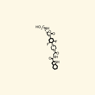 O=C(O)NC[C@H]1CN(c2cc(F)c(N3CCN(C(=O)CNC(=O)c4cc5ccccc5[nH]4)CC3)c(F)c2)C(=O)O1